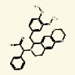 COc1ccc(CC2c3cc4c(cc3CCN2C(C(=O)O)c2ccccc2)OCCO4)cc1OC